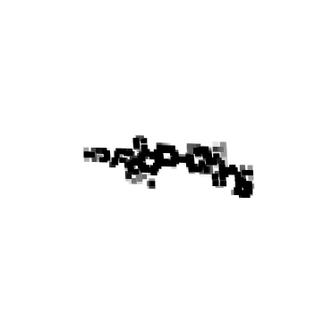 O=C(O)C[C@@]1(CC(F)(F)F)CCc2cc(-c3cnc(NC(=O)NC4CCC4)cn3)ccc2C1=O